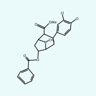 COC(=O)C1C(c2ccc(Cl)c(Cl)c2)CC2C(OC(=O)c3ccccc3)CC1N2C